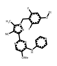 CCOc1cc(F)c(Cn2nc(-c3ncc(OC)c(Nc4ccncc4)n3)c(C#N)c2C)c(F)c1